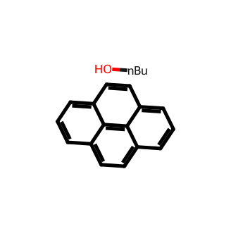 CCCCO.c1cc2ccc3cccc4ccc(c1)c2c34